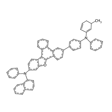 CC1C=C(N(c2ccccc2)c2ccc(-c3ccc4c(c3)c3ccccc3c3c5ccc(N(c6ccccc6)c6cccc7ccccc67)cc5oc43)cc2)C=CC1